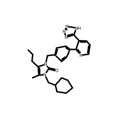 CCCc1c(C)n(CC2CCCCC2)c(=O)n1Cc1ccc(-c2ncccc2-c2nnn[nH]2)cc1